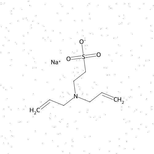 C=CCN(CC=C)CCS(=O)(=O)[O-].[Na+]